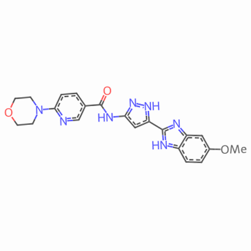 COc1ccc2[nH]c(-c3cc(NC(=O)c4ccc(N5CCOCC5)nc4)n[nH]3)nc2c1